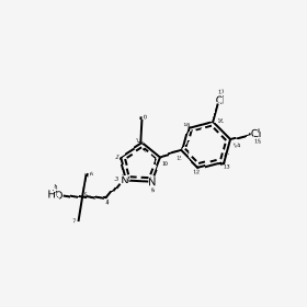 Cc1cn(CC(C)(C)O)nc1-c1ccc(Cl)c(Cl)c1